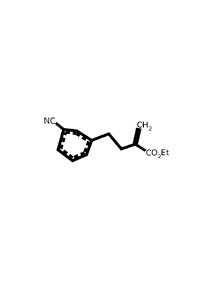 C=C(CCc1cccc(C#N)c1)C(=O)OCC